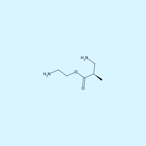 C[C@H](CN)C(=O)OCCN